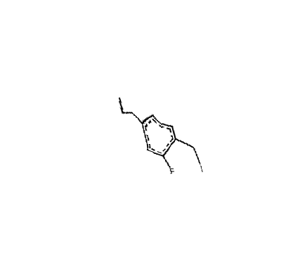 CCc1ccc(CI)c(F)c1